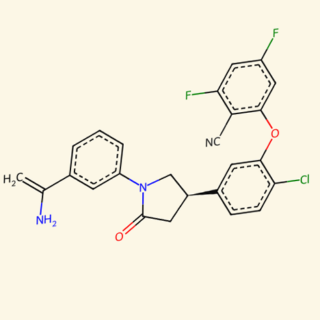 C=C(N)c1cccc(N2C[C@@H](c3ccc(Cl)c(Oc4cc(F)cc(F)c4C#N)c3)CC2=O)c1